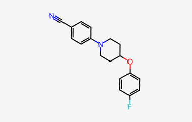 N#Cc1ccc(N2CCC(Oc3ccc(F)cc3)CC2)cc1